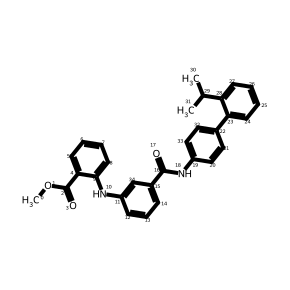 COC(=O)c1ccccc1Nc1cccc(C(=O)Nc2ccc(-c3ccccc3C(C)C)cc2)c1